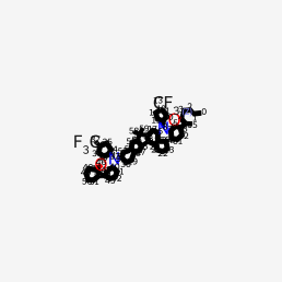 C=C/C=C\c1oc2c(N(c3ccc(C(F)(F)F)cc3)c3cc4c(c5ccccc35)-c3cc5ccc(N(c6ccc(C(F)(F)F)cc6)c6cccc7c6oc6ccccc67)cc5cc3C4(C)C)cccc2c1C